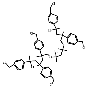 CCC(C)(CC(C)(C)OCC(C)(CC(C)(CC)c1ccc(CCl)cc1)c1ccc(CCl)cc1)OCC(C)(CC(C)(CC(C)(CC)c1ccc(CCl)cc1)c1ccc(CCl)cc1)c1ccc(CCl)cc1